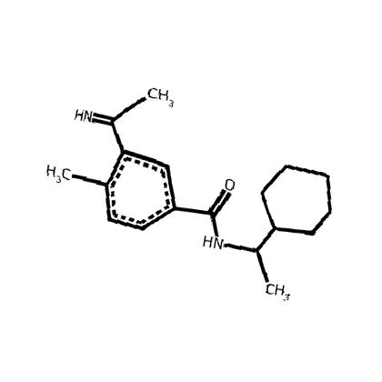 CC(=N)c1cc(C(=O)NC(C)C2CCCCC2)ccc1C